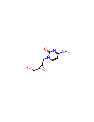 Nc1ccn(CC2OC2CO)c(=O)n1